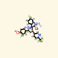 COc1ccc(C(CCc2ccc(C(F)(F)F)nc2)NC(C)(C(N)=O)c2ccc(F)cc2)cc1F